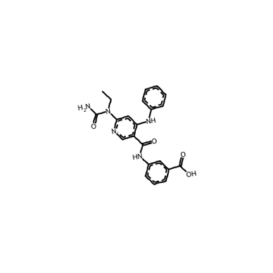 CCN(C(N)=O)c1cc(Nc2ccccc2)c(C(=O)Nc2cccc(C(=O)O)c2)cn1